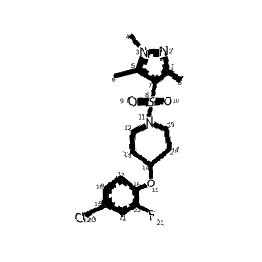 Cc1nn(C)c(C)c1S(=O)(=O)N1CCC(Oc2ccc(Cl)cc2F)CC1